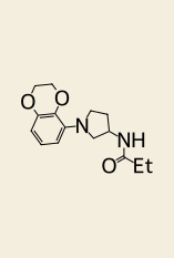 CCC(=O)NC1CCN(c2cccc3c2OCCO3)C1